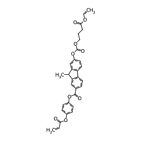 C=COC(=O)CCCOC(=O)Oc1ccc2c(c1)C(C)c1cc(C(=O)Oc3ccc(OC(=O)C=C)cc3)ccc1-2